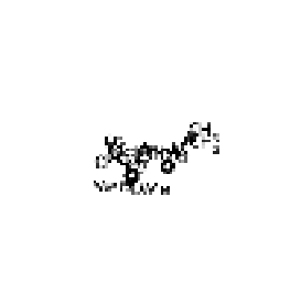 COc1ccc(C(Cc2c(Cl)c[n+]([O-])cc2Cl)OC(=O)c2ccc(CNCC(C(=O)OCCN(C)C)c3ccccc3)s2)cc1OC